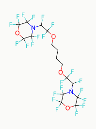 FC(N1C(F)(F)C(F)(F)OC(F)(F)C1(F)F)C(F)(F)OCCCCOC(F)(F)C(F)N1C(F)(F)C(F)(F)OC(F)(F)C1(F)F